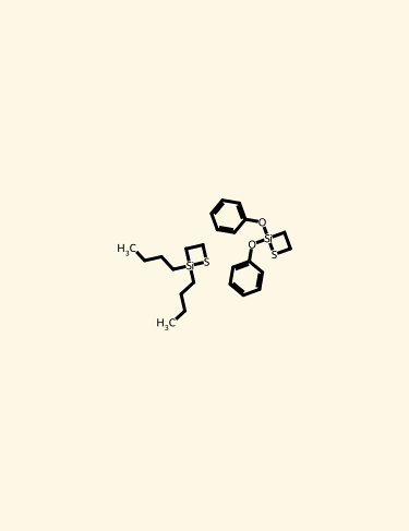 CCCC[Si]1(CCCC)CCS1.c1ccc(O[Si]2(Oc3ccccc3)CCS2)cc1